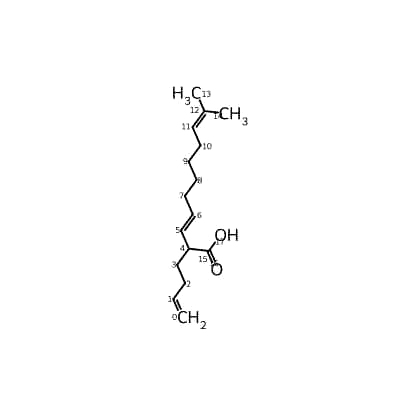 C=CCCC(C=CCCCCC=C(C)C)C(=O)O